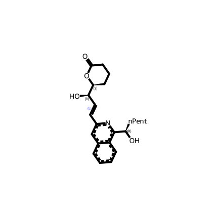 CCCCC[C@@H](O)c1nc(/C=C/[C@@H](O)[C@@H]2CCCC(=O)O2)cc2ccccc12